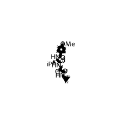 COc1ccc(C(=O)N[C@@H](CC(C)C)C(=O)NCC(=O)C(=O)NC2CC2)cc1